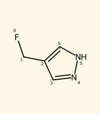 FCc1[c]n[nH][c]1